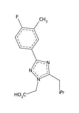 Cc1cc(-c2nc(CC(C)C)n(CC(=O)O)n2)ccc1F